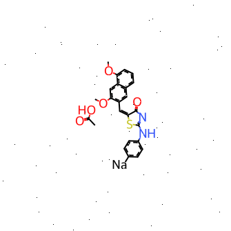 CC(=O)O.COc1cc2c(OC)cccc2cc1/C=C1/SC(Nc2cc[c]([Na])cc2)=NC1=O